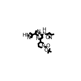 Cc1cc(Nc2cc(C3CCCN(C(=O)OC(C)(C)C)C3)nc3c(-c4cn[nH]c4)cnn23)on1